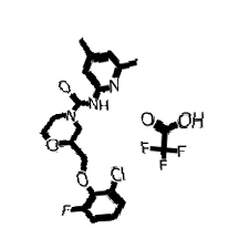 Cc1cc(C)nc(NC(=O)N2CCOC(COc3c(F)cccc3Cl)C2)c1.O=C(O)C(F)(F)F